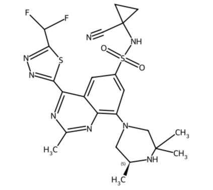 Cc1nc(-c2nnc(C(F)F)s2)c2cc(S(=O)(=O)NC3(C#N)CC3)cc(N3C[C@H](C)NC(C)(C)C3)c2n1